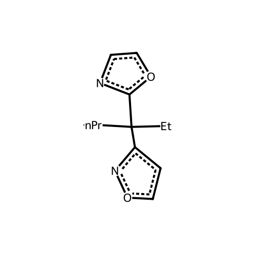 CC[CH]C(CC)(c1ccon1)c1ncco1